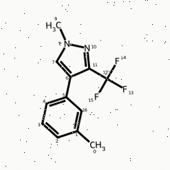 Cc1cccc(-c2cn(C)nc2C(F)(F)F)c1